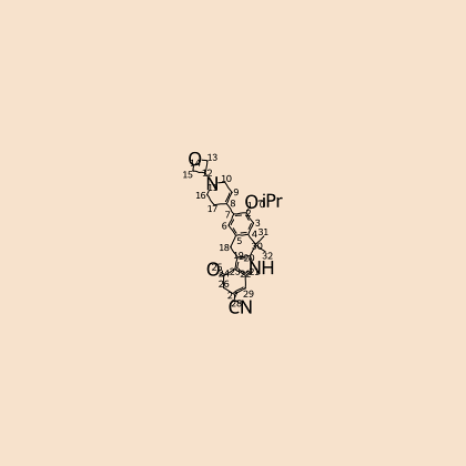 CC(C)Oc1cc2c(cc1C1=CCN(C3COC3)CC1)Cc1c([nH]c3c1C(=O)CC(C#N)=C3)C2(C)C